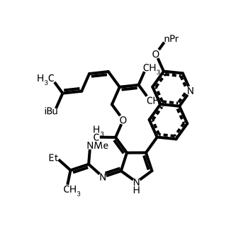 CCCOc1cnc2ccc(C3=CNC(=N/C(NC)=C(\C)CC)/C3=C(\C)OCC(/C=C\C=C(/C)C(C)CC)=C(C)C)cc2c1